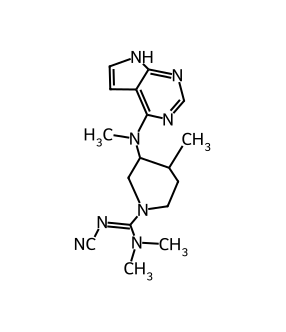 CC1CCN(C(=NC#N)N(C)C)CC1N(C)c1ncnc2[nH]ccc12